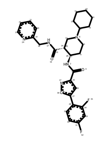 O=C(N[C@@H]1CCN(C2CCCCC2)C[C@H]1C(=O)NCc1ccccn1)c1cc(-c2ccc(F)cc2F)on1